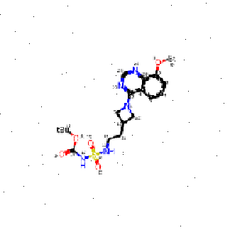 CCOc1cccc2c(N3CC(CCNS(=O)(=O)NC(=O)OC(C)(C)C)C3)ncnc12